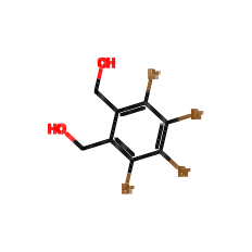 OCc1c(Br)c(Br)c(Br)c(Br)c1CO